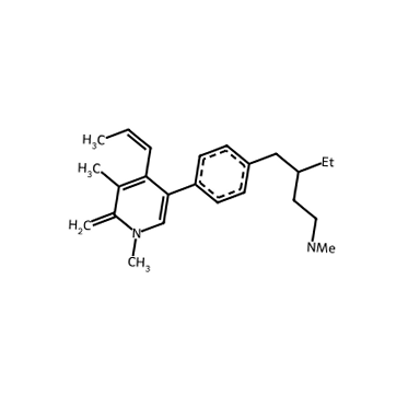 C=C1C(C)=C(/C=C\C)C(c2ccc(CC(CC)CCNC)cc2)=CN1C